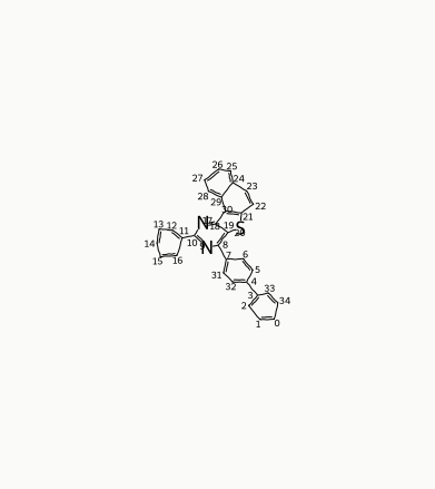 c1ccc(-c2ccc(-c3nc(-c4ccccc4)nc4c3sc3ccc5ccccc5c34)cc2)cc1